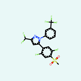 CS(=O)(=O)c1cc(F)c(-c2cc(C(F)F)nn2-c2cccc(C(F)(F)F)c2)cc1F